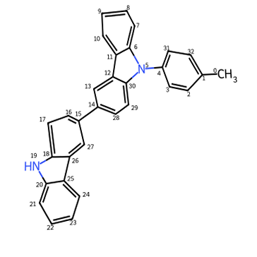 Cc1ccc(-n2c3ccccc3c3cc(-c4ccc5[nH]c6ccccc6c5c4)ccc32)cc1